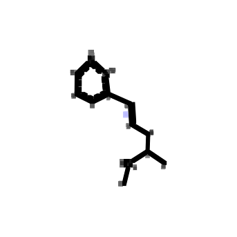 CNC(C)C/C=C/c1cccnn1